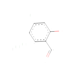 Cl.Cl.Cl.O=Cc1ccccc1O.[Ti]